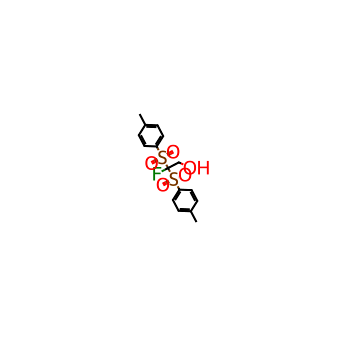 Cc1ccc(S(=O)(=O)C(F)(CO)S(=O)(=O)c2ccc(C)cc2)cc1